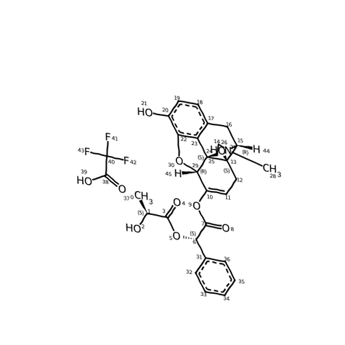 C[C@H](O)C(=O)O[C@H](C(=O)OC1=CC[C@@]2(O)[C@H]3Cc4ccc(O)c5c4[C@@]2(CCN3C)[C@H]1O5)c1ccccc1.O=C(O)C(F)(F)F